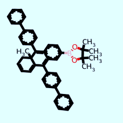 CC12CC=CC=C1C(c1ccc(-c3ccccc3)cc1)=c1cc(B3OC(C)(C)C(C)(C)O3)ccc1=C2c1ccc(-c2ccccc2)cc1